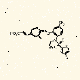 Cc1csc(S(=O)(=O)N(CC(C)C)c2ccc(C(F)(F)F)cc2OCc2ccc(/C=C/C(=O)O)cc2C)n1